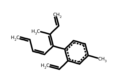 C=C/C=C\C(=C(/C)C=C)c1ccc(C)cc1C=C